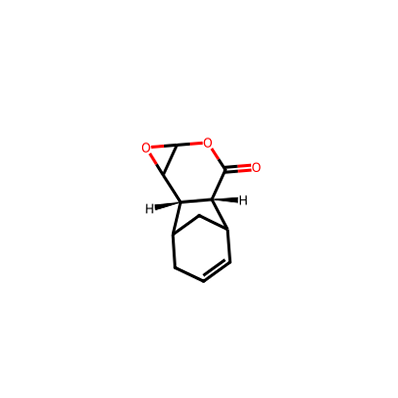 O=C1OC2OC2[C@H]2C3CC=CC(C3)[C@@H]12